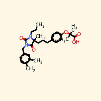 CCCN1C(=O)N(Cc2ccc(C)c(C)c2)C(=O)C1(C)CCCc1ccc(OC(C)(C)C(=O)O)cc1